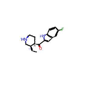 C/C=C1/CNCC[C@H]1C(=O)c1cc2cc(F)ccc2[nH]1